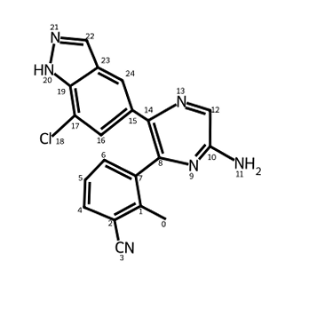 Cc1c(C#N)cccc1-c1nc(N)cnc1-c1cc(Cl)c2[nH]ncc2c1